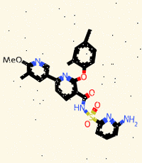 COc1ncc(-c2ccc(C(=O)NS(=O)(=O)c3cccc(N)n3)c(Oc3ccc(C)cc3C)n2)cc1C